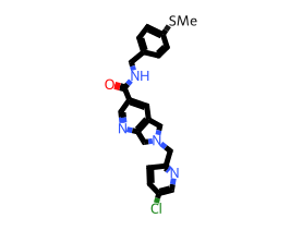 CSc1ccc(CNC(=O)c2cnc3c(c2)CN(Cc2ccc(Cl)cn2)C3)cc1